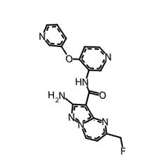 Nc1nn2ccc(CF)nc2c1C(=O)Nc1cnccc1Oc1cccnc1